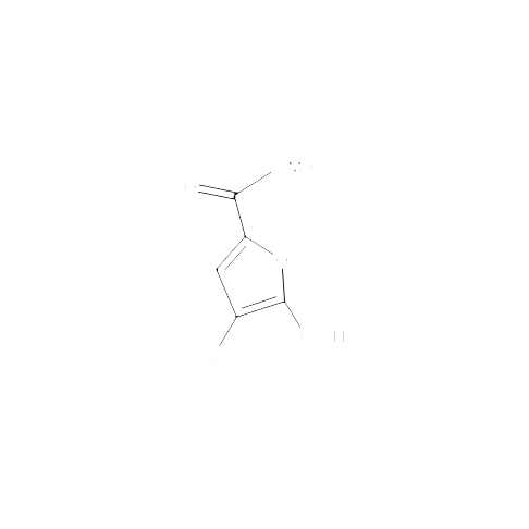 COC(=O)c1cc(C)c(C(=O)O)o1